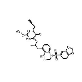 C#CCCC(=O)N(C[C@H](C)Cc1cccc(N(CC(C)C)S(=O)(=O)c2ccc3c(c2)OCO3)c1O)NC(=O)OC(C)(C)C